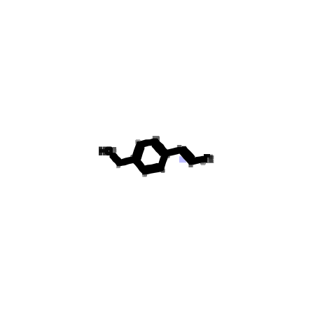 CC/C=C/c1ccc(CO)cc1